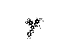 CC(=O)N1CCN(CC(=O)N2C[C@H](c3ccc(Cl)c(Cl)c3)[C@H](N(C)Cc3ccc(C(F)(F)F)c(F)c3)C2)CC1